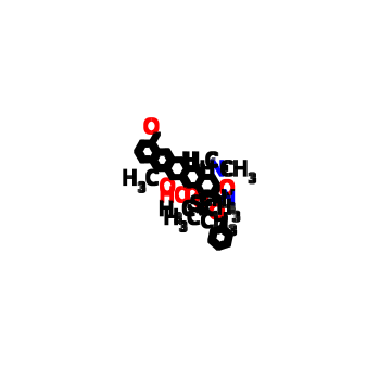 Cc1c2c(cc3c(C=O)cccc13)C[C@H]1C[C@H]3[C@H](N(C)C)c4onc(OCc5ccccc5)c4C(=O)[C@@]3(O[Si](C)(C)C(C)(C)C)C(O)=C1C2=O